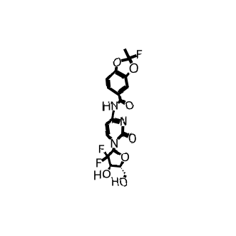 CC1(F)Oc2ccc(C(=O)Nc3ccn(C4O[C@H](CO)[C@@H](O)C4(F)F)c(=O)n3)cc2O1